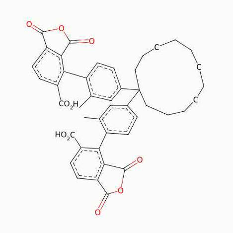 Cc1cc(C2(c3ccc(-c4c(C(=O)O)ccc5c4C(=O)OC5=O)c(C)c3)CCCCCCCCCCC2)ccc1-c1c(C(=O)O)ccc2c1C(=O)OC2=O